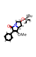 COC1=C(c2ccccc2)C(=O)N2CC(O[Si](C)(C)C(C)(C)C)CC12